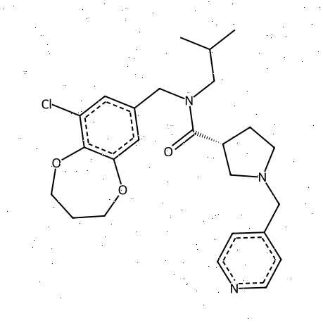 CC(C)CN(Cc1cc(Cl)c2c(c1)OCCCO2)C(=O)[C@@H]1CCN(Cc2ccncc2)C1